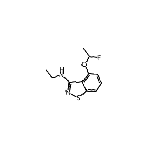 CCNc1nsc2cccc(OC(C)F)c12